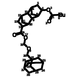 CCC(C)C(=O)OC1CC2CC1C1C3CC(CC3C(=O)OCOCC34CC5CC(CC(C5)C3)C4)C21